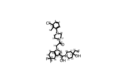 Cc1c(Cl)cccc1N1CCN(C(=O)Cn2nc(C(O)N3CCC(O)(CF)CC3)c3c2CCC(F)(F)C3)CC1